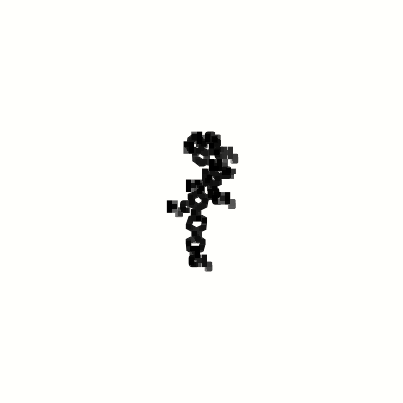 COc1cc(N2CCC(N3CCN(C)CC3)CC2)c(C)cc1Nc1ncc(Br)c(Nc2ccc3nccnc3c2N(C)SC)n1